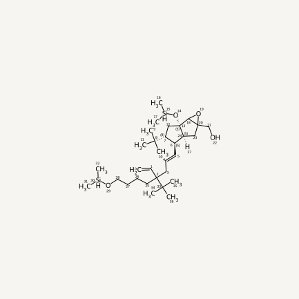 C=CC(CC=C[C@H]1[C@H](C(C)(C)C)C[C@@]2(O[SiH](C)C)C3OC3(CO)C[C@@H]12)(CCCCO[SiH](C)C)C(C)(C)C